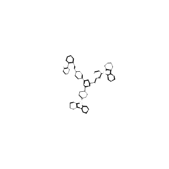 C\C=C/C(=C\C=C(/C)c1cc(C2=CCC(/C=C/c3ccccc3C3=C(C)C=CCC3)C=C2)cc(C2CC=C(n3c4c(c5ccccc53)CCC=C4)CC2)c1)n1c2c(c3ccccc31)CCCC2